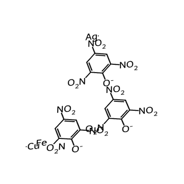 O=[N+]([O-])c1cc([N+](=O)[O-])c([O-])c([N+](=O)[O-])c1.O=[N+]([O-])c1cc([N+](=O)[O-])c([O-])c([N+](=O)[O-])c1.O=[N+]([O-])c1cc([N+](=O)[O-])c([O-])c([N+](=O)[O-])c1.[Ag].[Cu].[Fe]